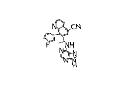 CC(Nc1ncnc2[nH]cnc12)c1cc(C#N)c2cccnc2c1-c1cccc(F)c1